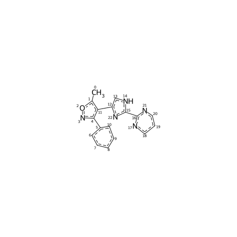 Cc1onc(-c2ccccc2)c1-c1c[nH]c(-c2ncccn2)n1